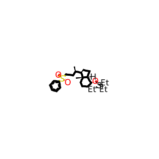 CC[Si](CC)(CC)O[C@H]1CCC[C@]2(C)[C@@H]([C@H](C)CCS(=O)(=O)c3ccccc3)CC[C@@H]12